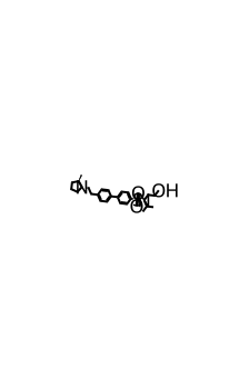 CC(C)N(CCO)S(=O)(=O)c1ccc(-c2ccc(CCN3CCC[C@H]3C)cc2)cc1